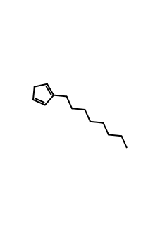 CCCCCCCCC1=CCC=C1